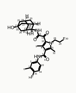 Cc1cc(NC(=O)c2c(C)c(C(=O)C(=O)N[C@@H]3[C@@H]4C[C@@H]5C[C@H]3C[C@@](O)(C5)C4)n(CCF)c2C)ccc1F